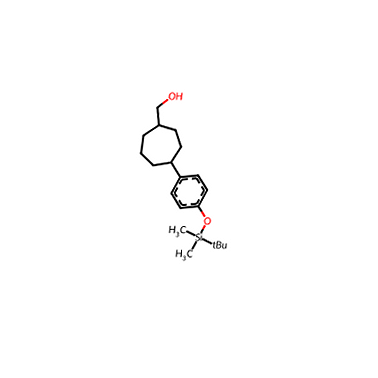 CC(C)(C)[Si](C)(C)Oc1ccc(C2CCCC(CO)CC2)cc1